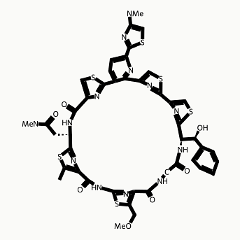 CNC(=O)C[C@@H]1NC(=O)c2csc(n2)-c2ccc(-c3nc(NC)cs3)nc2-c2csc(n2)-c2csc(n2)[C@H]([C@@H](O)c2ccccc2)NC(=O)CNC(=O)c2nc(sc2COC)NC(=O)c2nc1sc2C